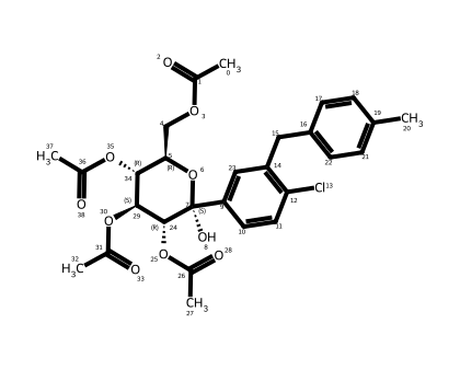 CC(=O)OC[C@H]1O[C@@](O)(c2ccc(Cl)c(Cc3ccc(C)cc3)c2)[C@H](OC(C)=O)[C@@H](OC(C)=O)[C@@H]1OC(C)=O